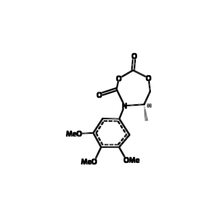 COc1cc(N2C(=O)OC(=O)OC[C@@H]2C)cc(OC)c1OC